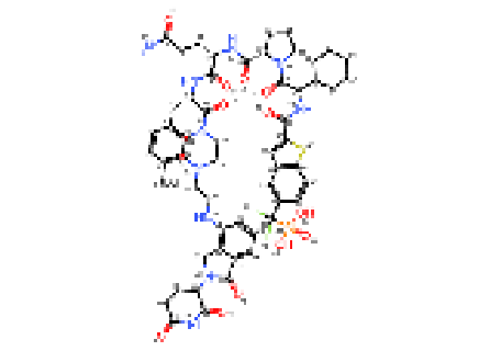 CC(C)(C)c1ccc(C[C@H](NC(=O)[C@H](CCC(N)=O)NC(=O)[C@@H]2CCCN2C(=O)[C@@H](NC(=O)c2cc3cc(C(F)(F)P(=O)(O)O)ccc3s2)C2CCCCC2)C(=O)N2CCN(CCNc3cccc4c3CN(C3CCC(=O)NC3=O)C4=O)CC2)cc1